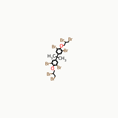 CC(C)(c1cc(Br)c(OCC(Br)CBr)c(Br)c1)c1cc(Br)c(OCC(Br)CBr)c(Br)c1